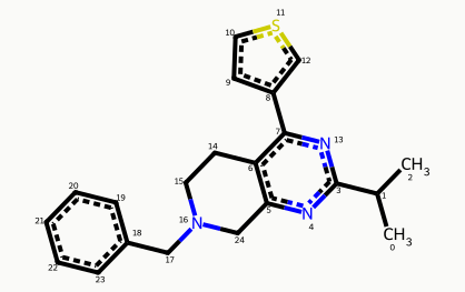 CC(C)c1nc2c(c(-c3ccsc3)n1)CCN(Cc1ccccc1)C2